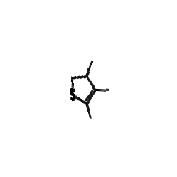 CC1=C(C)C(C)CS1